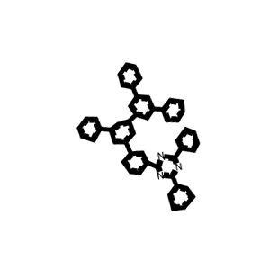 c1ccc(-c2cc(-c3ccccc3)cc(-c3cc(-c4ccccc4)cc(-c4cccc(-c5nc(-c6ccccc6)nc(-c6ccccc6)n5)c4)c3)c2)cc1